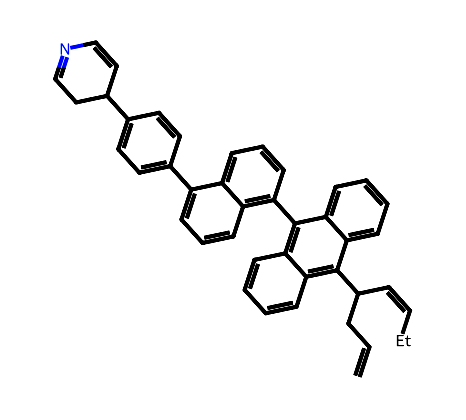 C=CCC(/C=C\CC)c1c2ccccc2c(-c2cccc3c(-c4ccc(C5C=CN=CC5)cc4)cccc23)c2ccccc12